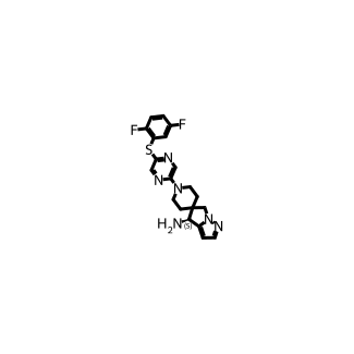 N[C@@H]1c2ccnn2CC12CCN(c1cnc(Sc3cc(F)ccc3F)cn1)CC2